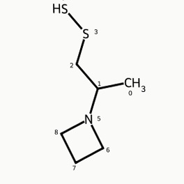 CC(CSS)N1CCC1